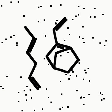 C=CC/C=C/C.C=CC1=C2CCC(C1)C2